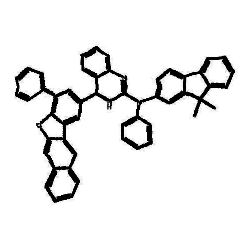 CC1(C)c2ccccc2-c2ccc(N(C3=Nc4ccccc4C(c4cc(-c5ccccc5)c5oc6cc7ccccc7cc6c5c4)N3)c3ccccc3)cc21